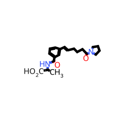 CC(NC(=O)c1cccc(/C=C/CCCC(=O)N2CCCC2)c1)C(=O)O